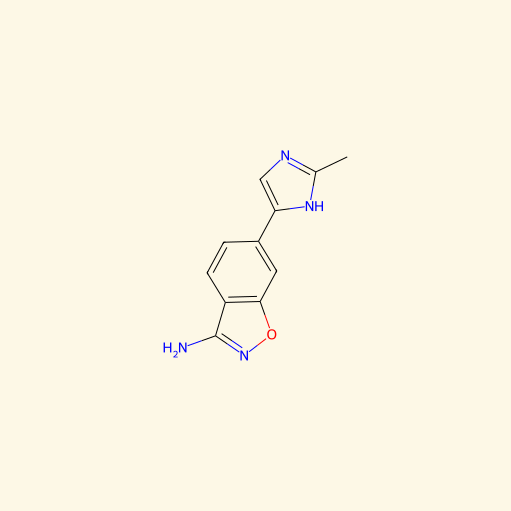 Cc1ncc(-c2ccc3c(N)noc3c2)[nH]1